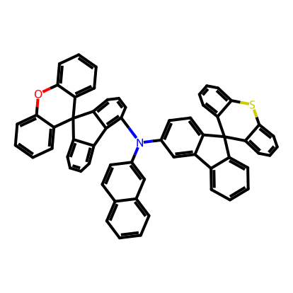 c1ccc2c(c1)Oc1ccccc1C21c2ccccc2-c2c(N(c3ccc4c(c3)-c3ccccc3C43c4ccccc4Sc4ccccc43)c3ccc4ccccc4c3)cccc21